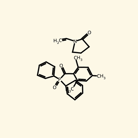 C=CN1CCCC1=O.Cc1cc(C)c(C(=O)P(=O)(c2ccccc2)c2ccccc2)c(C)c1